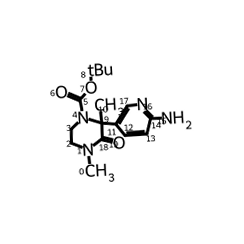 CN1CCN(C(=O)OC(C)(C)C)C(C)(c2ccc(N)nc2)C1=O